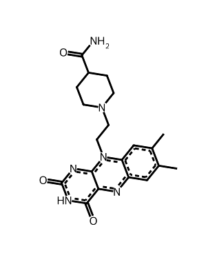 Cc1cc2nc3c(=O)[nH]c(=O)nc-3n(CCN3CCC(C(N)=O)CC3)c2cc1C